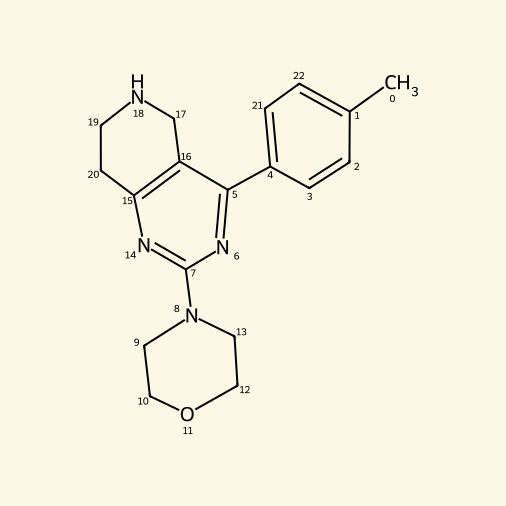 Cc1ccc(-c2nc(N3CCOCC3)nc3c2CNCC3)cc1